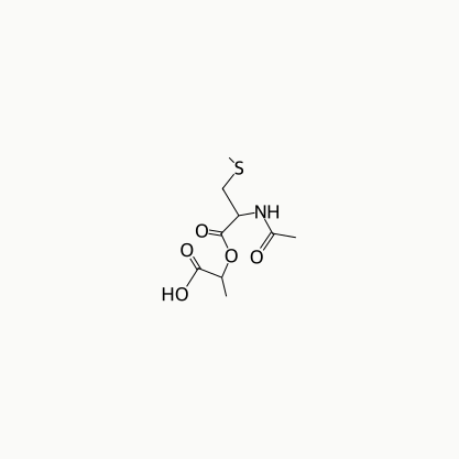 CSCC(NC(C)=O)C(=O)OC(C)C(=O)O